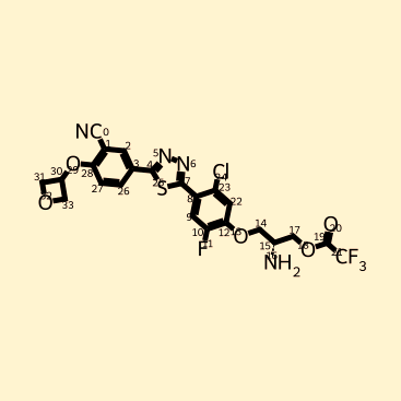 N#Cc1cc(-c2nnc(-c3cc(F)c(OC[C@@H](N)COC(=O)C(F)(F)F)cc3Cl)s2)ccc1OC1COC1